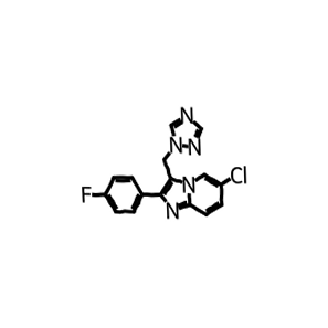 Fc1ccc(-c2nc3ccc(Cl)cn3c2Cn2cncn2)cc1